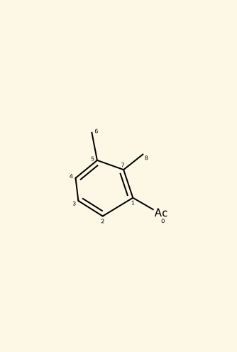 CC(=O)c1cccc(C)c1C